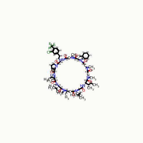 CC[C@H](C)[C@@H]1NC(=O)[C@H](CC(C)C)N(C)C(=O)C[C@@H](C)N(C)C(=O)[C@H](C(C)C)N(C)C(=O)[C@@](C)(CC)NC(=O)[C@@H]2CCCN2C(=O)[C@H](CCc2ccc(C(F)(F)F)c(Cl)c2)NC(=O)CN(C)C(=O)[C@H](CC2CCCCC2)N(C)C(=O)CN(C)C(=O)CN(C)C1=O